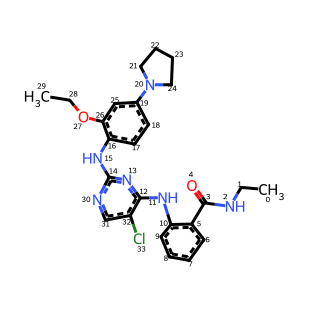 CCNC(=O)c1ccccc1Nc1nc(Nc2ccc(N3CCCC3)cc2OCC)ncc1Cl